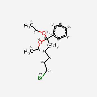 CCOC(OCC)([SiH2]CCCCBr)c1ccccc1